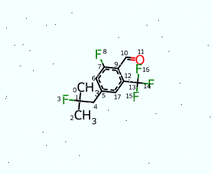 CC(C)(F)Cc1cc(F)c(C=O)c(C(F)(F)F)c1